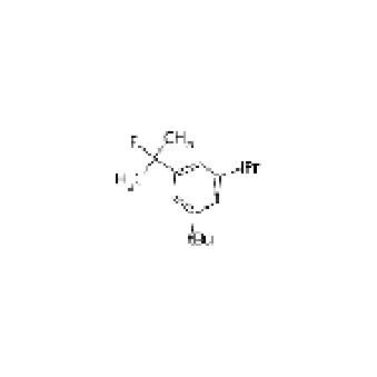 CC(C)c1cc(C(C)(C)C)cc(C(C)(C)F)c1